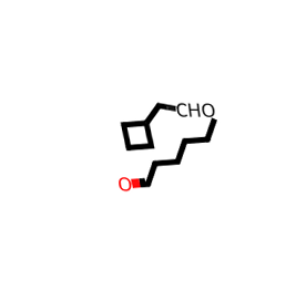 CCCCCC=O.O=CCC1CCC1